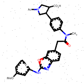 COc1cccc(Nc2nc3ccc(CC(=O)N(C)c4ccc(C5CN(C(C)=O)CC5C(=O)O)cc4)cc3o2)c1